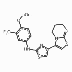 CCCCCCCCOc1ccc(Nc2nc(C3=CSC4=NCCCN34)cs2)cc1C(F)(F)F